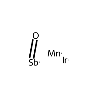 [Ir].[Mn].[O]=[Sb]